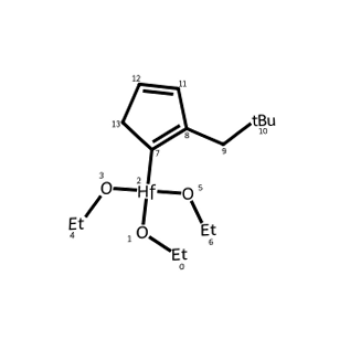 CC[O][Hf]([O]CC)([O]CC)[C]1=C(CC(C)(C)C)C=CC1